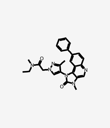 CCN(C)C(=O)Cn1cc(-n2c(=O)n(C)c3cnc4ccc(-c5ccccc5)cc4c32)c(C)n1